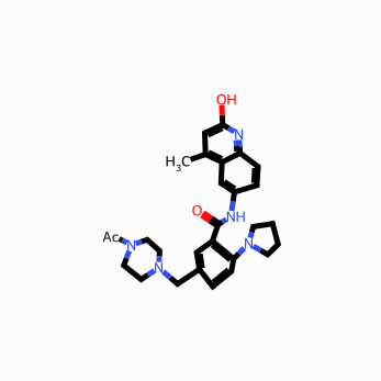 CC(=O)N1CCN(Cc2ccc(N3CCCC3)c(C(=O)Nc3ccc4nc(O)cc(C)c4c3)c2)CC1